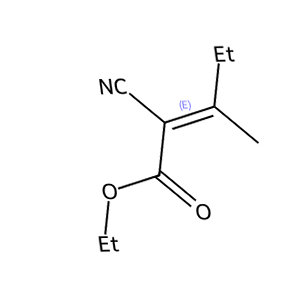 CCOC(=O)/C(C#N)=C(\C)CC